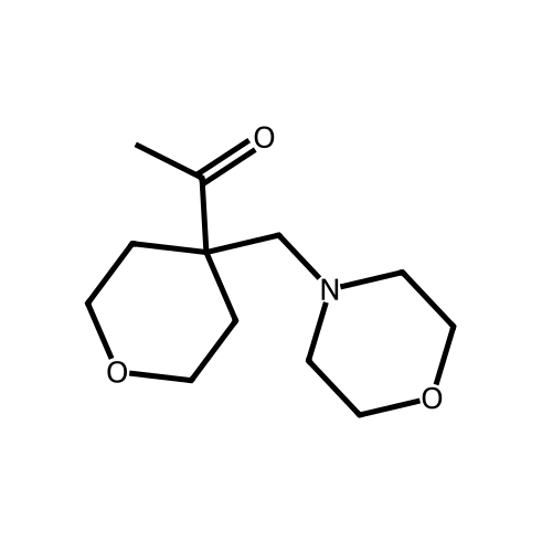 CC(=O)C1(CN2CCOCC2)CCOCC1